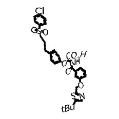 CC(C)(C)c1cnc(COc2cccc(C(=O)NC(Oc3ccc(CCCS(=O)(=O)c4ccc(Cl)cc4)cc3)C(=O)O)c2)s1